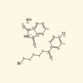 O=C(CCCCCBr)c1ccc(Cl)cc1.O=C1NC(=O)c2ccccc21.[KH]